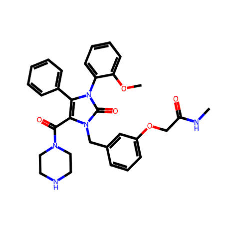 CNC(=O)COc1cccc(Cn2c(C(=O)N3CCNCC3)c(-c3ccccc3)n(-c3ccccc3OC)c2=O)c1